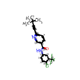 CC(C)(C)C#Cc1ccc(C(=O)Nc2ccc(Cl)c(C(F)(F)F)c2)cn1